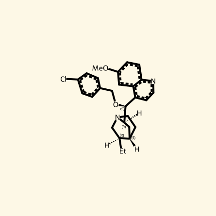 CC[C@H]1CN2CC[C@H]1C[C@@H]2[C@@H](OCc1ccc(Cl)cc1)c1ccnc2ccc(OC)cc12